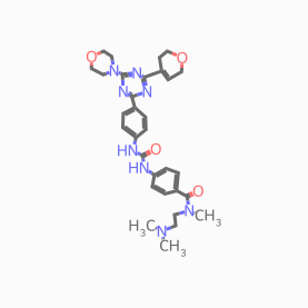 CN(C)CCN(C)C(=O)c1ccc(NC(=O)Nc2ccc(-c3nc(C4=CCOCC4)nc(N4CCOCC4)n3)cc2)cc1